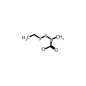 CCSSN(C)C(=O)Cl